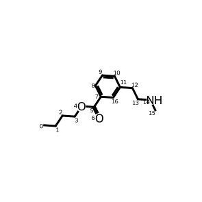 CCCCOC(=O)c1cccc(CCNC)c1